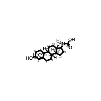 C[C@]12CCC(O)C=C1CC[C@@H]1[C@H]2CC[C@]2(C)C(NC(=O)O)CC[C@@H]12